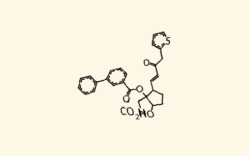 O=C(O)CC1(OC(=O)c2cccc(-c3ccccc3)c2)C(O)CCC1C=CC(=O)Cc1cccs1